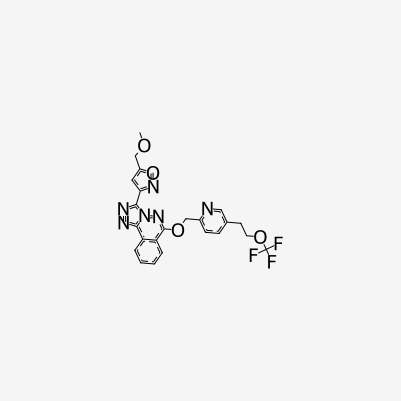 COCc1cc(-c2nnc3c4ccccc4c(OCc4ccc(CCOC(F)(F)F)cn4)nn23)no1